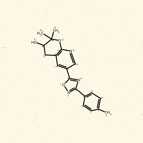 Cc1ccc(-c2noc(-c3cnc4c(c3)CC(O)C(C)(C)O4)n2)cc1